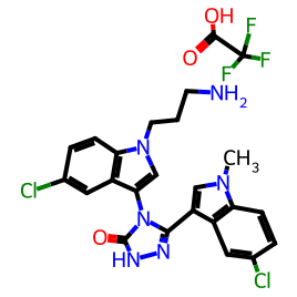 Cn1cc(-c2n[nH]c(=O)n2-c2cn(CCCN)c3ccc(Cl)cc23)c2cc(Cl)ccc21.O=C(O)C(F)(F)F